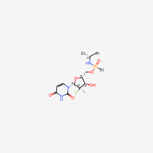 CC[C@@H](NP(=O)(CC)OC[C@H]1O[C@@H](n2ccc(=O)[nH]c2=O)[C@](C)(F)[C@@H]1O)C(C)C